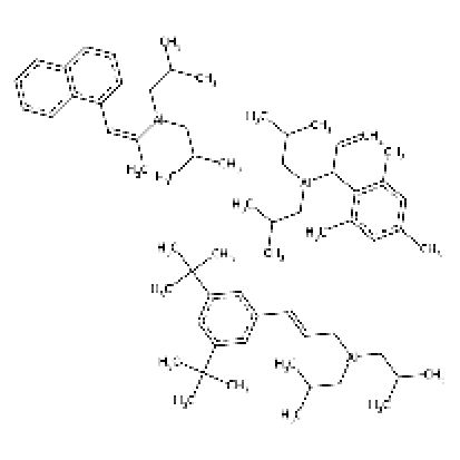 C=C[CH](c1c(C)cc(C)cc1C)[Al]([CH2]C(C)C)[CH2]C(C)C.CC(C)[CH2][Al]([CH2]C=Cc1cc(C(C)(C)C)cc(C(C)(C)C)c1)[CH2]C(C)C.C[C](=Cc1cccc2ccccc12)[Al]([CH2]C(C)C)[CH2]C(C)C